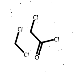 ClCCl.O=C(Cl)CCl